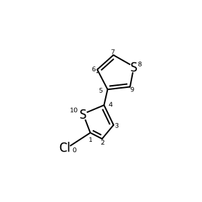 Clc1ccc(-c2[c]csc2)s1